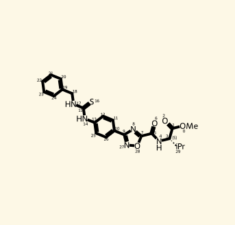 COC(=O)[C@@H](NC(=O)c1nc(-c2ccc(NC(=S)NCc3ccccc3)cc2)no1)C(C)C